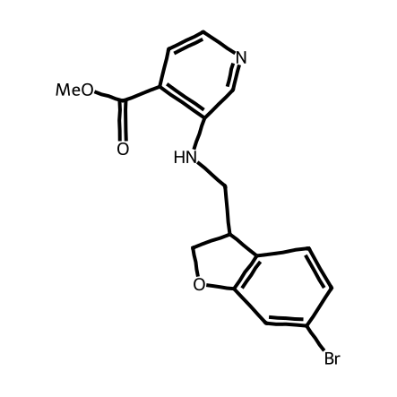 COC(=O)c1ccncc1NCC1COc2cc(Br)ccc21